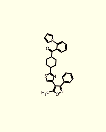 Cc1onc(-c2ccccc2)c1-c1csc(C2CCC(C(=O)c3ccccc3-n3cccc3)CC2)n1